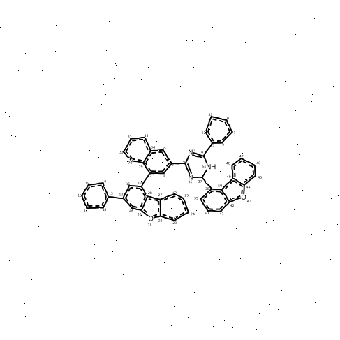 c1ccc(C2=NC(c3cc(-c4cc(-c5ccccc5)cc5oc6ccccc6c45)c4ccccc4c3)=NC(c3cccc4oc5ccccc5c34)N2)cc1